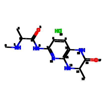 CNC(C)C(=O)Nc1ccc2c(n1)NC(C)C(=O)N2.Cl